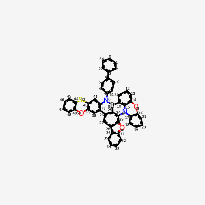 c1ccc(-c2ccc(N3B4c5cccc6c5N(c5ccccc5O6)c5c4c(cc4c5oc5ccccc54)-c4cc5c(cc43)Sc3ccccc3O5)cc2)cc1